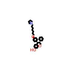 Oc1ccc2c(c1)OC[C@@H](c1ccccc1)[C@@H]2c1ccc(OCCCCCCCN2CCCC2)cc1